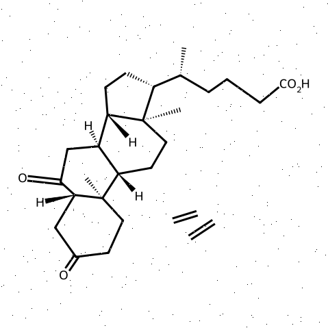 C=C.C=C.C[C@H](CCCC(=O)O)[C@H]1CC[C@H]2[C@@H]3CC(=O)[C@H]4CC(=O)CC[C@]4(C)[C@H]3CC[C@]12C